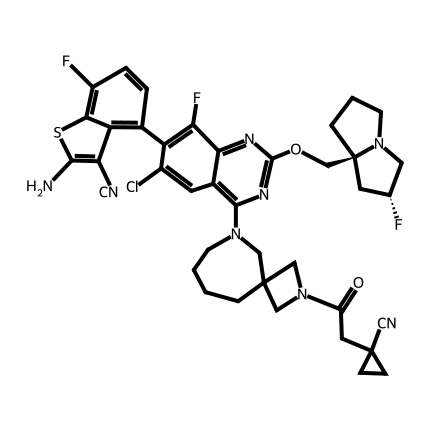 N#Cc1c(N)sc2c(F)ccc(-c3c(Cl)cc4c(N5CCCCC6(CN(C(=O)CC7(C#N)CC7)C6)C5)nc(OC[C@@]56CCCN5C[C@H](F)C6)nc4c3F)c12